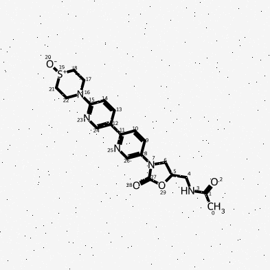 CC(=O)NCC1CN(c2ccc(-c3ccc(N4CC[S+]([O-])CC4)nc3)nc2)C(=O)O1